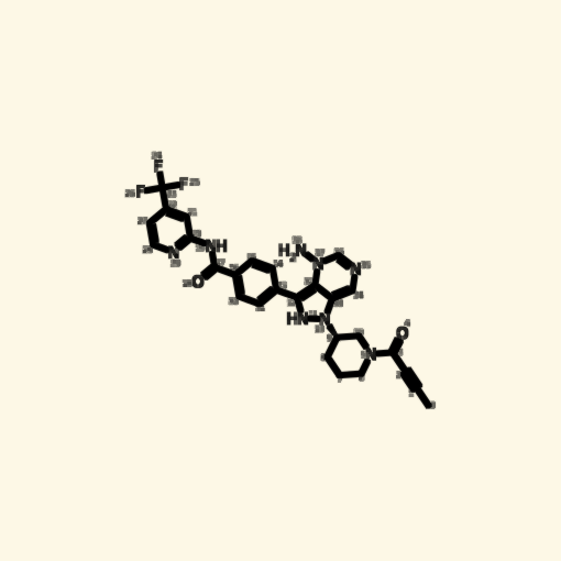 CC#CC(=O)N1CCC[C@@H](N2NC(c3ccc(C(=O)Nc4cc(C(F)(F)F)ccn4)cc3)=C3C2=CN=CN3N)C1